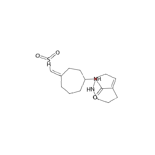 O=C(NC1CCC/C(=C/[SH](=O)=O)CC1)/C1=C\CCNCCC1